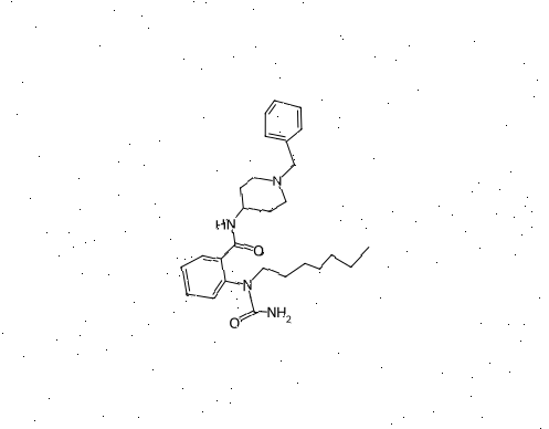 CCCCCCCN(C(N)=O)c1ccccc1C(=O)NC1CCN(Cc2ccccc2)CC1